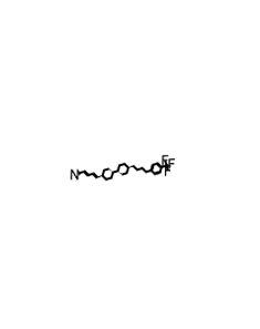 N#CC=CC=C[C@H]1CC[C@H]([C@H]2CC[C@H](CCCCc3ccc(C(F)(F)F)cc3)CC2)CC1